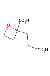 O=C(O)CCC1(C(=O)O)CCO1